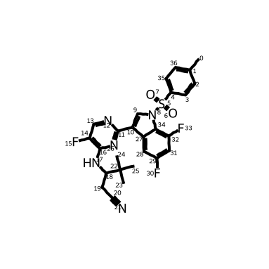 Cc1ccc(S(=O)(=O)n2cc(-c3ncc(F)c(NC(CC#N)C(C)(C)C)n3)c3cc(F)cc(F)c32)cc1